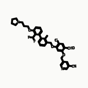 Cc1c(COc2cc(OCc3cncc(C#N)c3)c(C=O)cc2Cl)cccc1-c1cccc(OCCCN2CCCC2)c1C(F)F